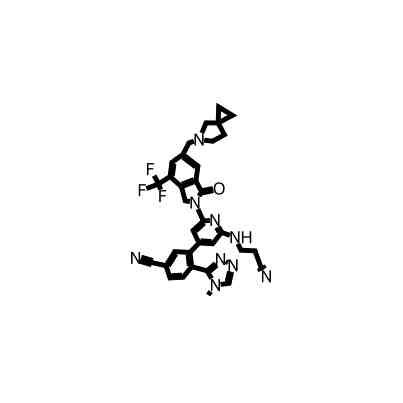 Cn1cnnc1-c1ccc(C#N)cc1-c1cc(NCCC#N)nc(N2Cc3c(cc(CN4CCC5(CC5)C4)cc3C(F)(F)F)C2=O)c1